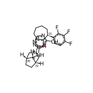 Cc1cc(N2C[C@H]3CC[C@@H](C2)[C@H]3Nc2nc3n(n2)CCCC[C@H]3c2ccc(F)c(F)c2F)ncn1